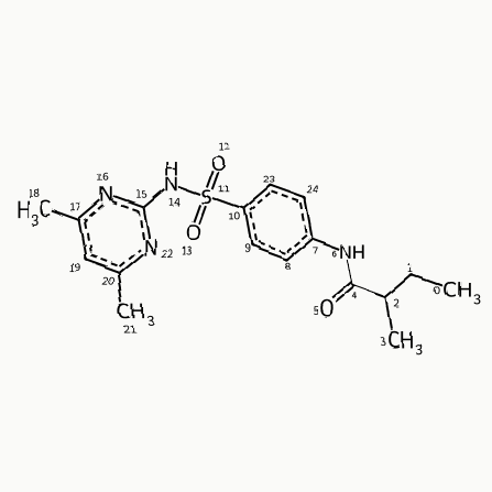 CCC(C)C(=O)Nc1ccc(S(=O)(=O)Nc2nc(C)cc(C)n2)cc1